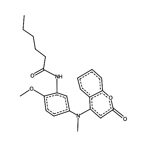 CCCCCC(=O)Nc1cc(N(C)c2cc(=O)oc3ccccc23)ccc1OC